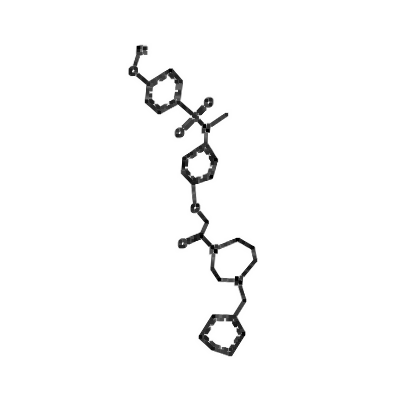 CCOc1ccc(S(=O)(=O)N(C)c2ccc(OCC(=O)N3CCCN(Cc4ccccc4)CC3)cc2)cc1